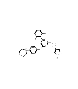 Cc1cccc(C)c1-c1cc(Oc2ccc(C3(O)CCNCC3)cc2)nc(NS(=O)(=O)c2cnn(C)c2)n1